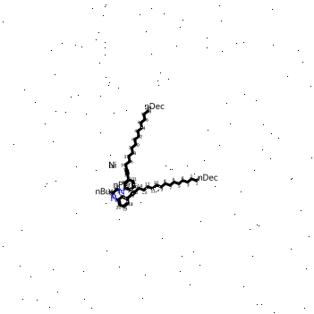 CCCCCCCCCCCCCCCCCCCCCCCCC#Cc1cccc(N=C(CCCC)C(CCCCC)=Nc2cccc(C#CCCCCCCCCCCCCCCCCCCCCCCCC)c2)c1.[Ni]